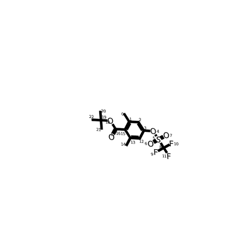 Cc1cc(OS(=O)(=O)C(F)(F)F)cc(C)c1C(=O)OC(C)(C)C